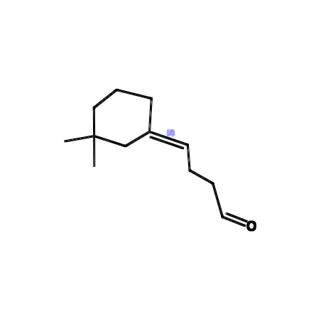 CC1(C)CCC/C(=C/CCC=O)C1